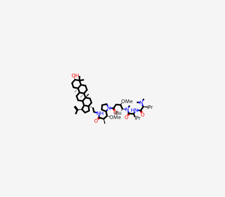 C=C(C)[C@@H]1CC[C@]2(CCNC(=O)[C@H](C)[C@@H](OC)C3CCCN3C(=O)C[C@@H](OC)[C@H]([C@@H](C)CC)N(C)C(=O)C(NC(=O)[C@H](C(C)C)N(C)C)C(C)C)CC[C@]3(C)C(CCC4[C@@]5(C)CC[C@H](O)C(C)(C)C5CC[C@]43C)C12